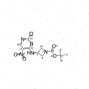 CC(C)(C)OC(=O)N1CC(Nc2nc(Cl)ncc2[N+](=O)[O-])C1